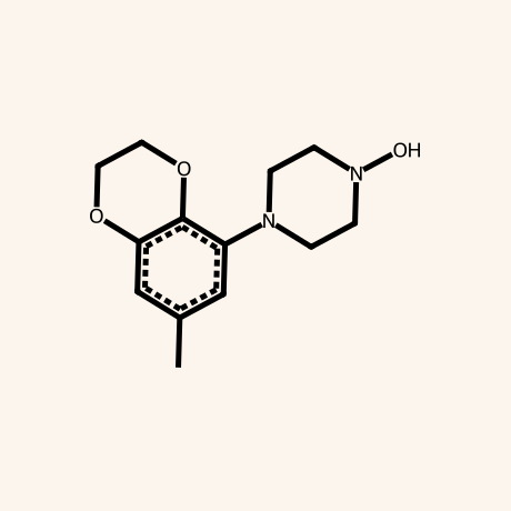 Cc1cc2c(c(N3CCN(O)CC3)c1)OCCO2